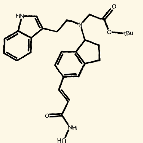 CC(C)(C)OC(=O)CN(CCc1c[nH]c2ccccc12)C1CCc2cc(C=CC(=O)NO)ccc21